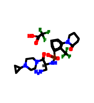 NC[C@H](NS(=O)(=O)c1cccc(N2CCCCC2=O)c1C(F)(F)F)C(=O)N1CCN(C2CC2)CC1.O=C(O)C(F)(F)F